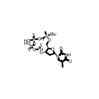 Cc1cn([C@H]2C[C@H](O[PH](=S)OP(O)(=S)OP(O)(O)=S)[C@@H](CO[Si](C)(C)C(C)(C)C)O2)c(=O)[nH]c1=O